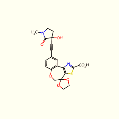 CN1CCC(O)(C#Cc2ccc3c(c2)-c2nc(C(=O)O)sc2C2(CO3)OCCO2)C1=O